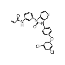 C=CC(=O)Nc1cccc(-n2c(=O)n(-c3ccc(Oc4cc(Cl)cc(Cl)c4)cc3)c3cnccc32)c1